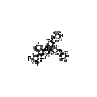 CC1(C)c2c(F)cc(F)cc2-c2c1c1c(c3ccccc23)OC(c2ccc(Sc3ccccc3)cc2)(c2ccc(Sc3ccccc3)cc2)C=C1